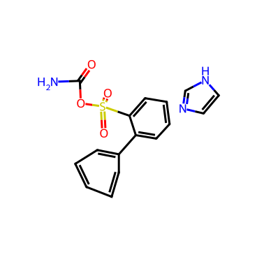 NC(=O)OS(=O)(=O)c1ccccc1-c1ccccc1.c1c[nH]cn1